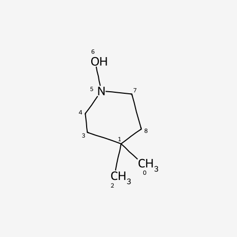 CC1(C)CCN(O)CC1